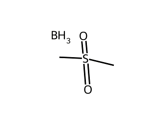 B.CS(C)(=O)=O